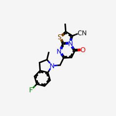 Cc1sc2nc(CN3c4ccc(F)cc4CC3C)cc(=O)n2c1C#N